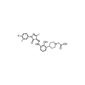 CC1=NN(c2ccc(F)c(C)c2)C(=O)/C1=N\Nc1cccc(C2CCN(CC(=O)O)CC2)c1O